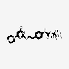 CC(C)(C)OC(=O)Nc1ccc(CCOc2nc(Cl)cc(N3CCOCC3)n2)cc1